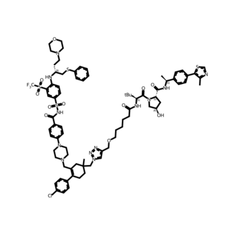 Cc1ncsc1-c1ccc([C@H](C)NC(=O)[C@@H]2C[C@@H](O)CN2C(=O)[C@@H](NC(=O)CCCCCOCc2cn(CC3(C)CCC(c4ccc(Cl)cc4)=C(CN4CCN(c5ccc(C(=O)NS(=O)(=O)c6ccc(N[C@H](CCN7CCOCC7)CSc7ccccc7)c(S(=O)(=O)C(F)(F)F)c6)cc5)CC4)C3)nn2)C(C)(C)C)cc1